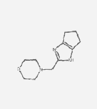 C1CC2=C(C1)NC(CN1CCOCC1)=[N+]2